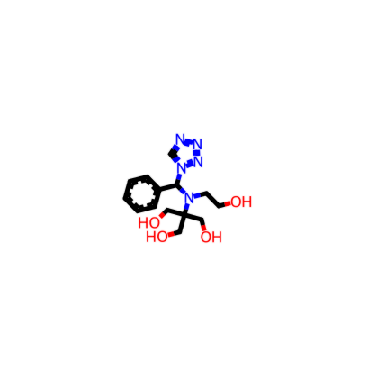 OCCN(C(c1ccccc1)n1cnnn1)C(CO)(CO)CO